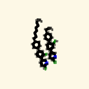 CCCCCCCC[C@H]1CC[C@H](c2ccc(-c3ccc(F)nc3)c(F)c2)CC1.CC[C@H]1CC[C@H](c2ccc(-c3ccc(Cl)nc3)cc2F)CC1